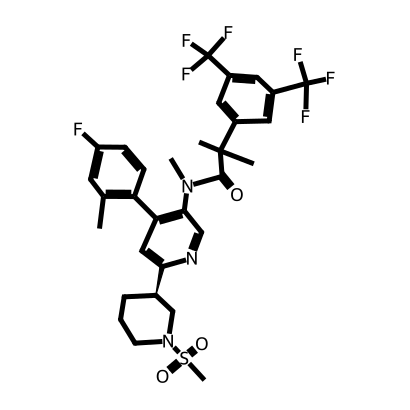 Cc1cc(F)ccc1-c1cc([C@@H]2CCCN(S(C)(=O)=O)C2)ncc1N(C)C(=O)C(C)(C)c1cc(C(F)(F)F)cc(C(F)(F)F)c1